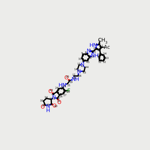 CC(=O)c1c(C)[nH]c(-c2nc3ccc(N4CCN(CCNC(=O)CNc5cc6c(cc5F)C(=O)N(C5CCC(=O)NC5=O)C6=O)CC4)cc3[nH]2)c1-c1ccccc1